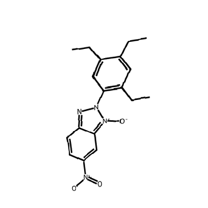 CCc1cc(CC)c(-n2nc3ccc([N+](=O)[O-])cc3[n+]2[O-])cc1CC